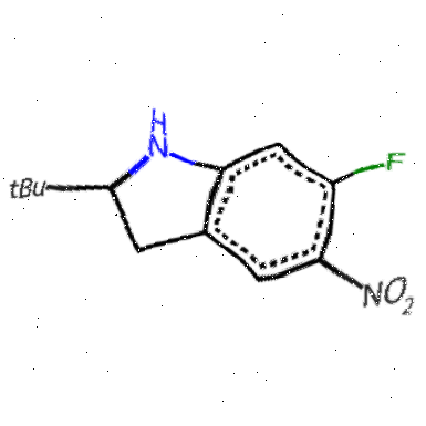 CC(C)(C)C1Cc2cc([N+](=O)[O-])c(F)cc2N1